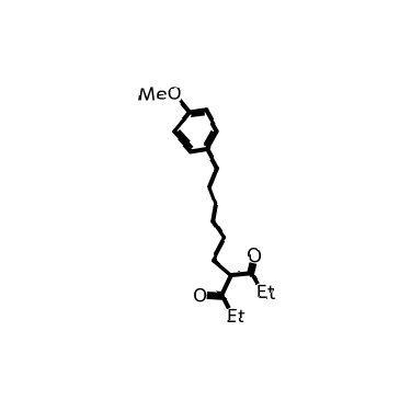 CCC(=O)C(CCCCCCc1ccc(OC)cc1)C(=O)CC